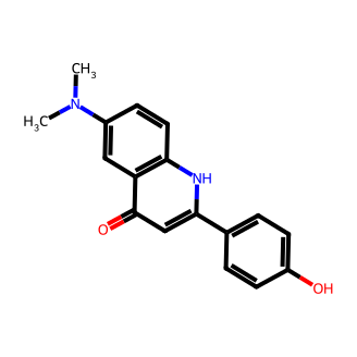 CN(C)c1ccc2[nH]c(-c3ccc(O)cc3)cc(=O)c2c1